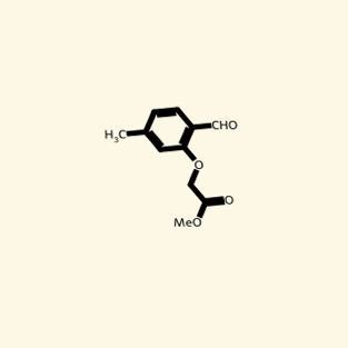 COC(=O)COc1cc(C)ccc1C=O